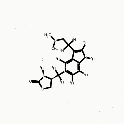 [2H]c1c(C([2H])([2H])[C@H]2COC(=O)N2[2H])c([2H])c2c(C([2H])([2H])CN(C)C)c([2H])n([2H])c2c1[2H]